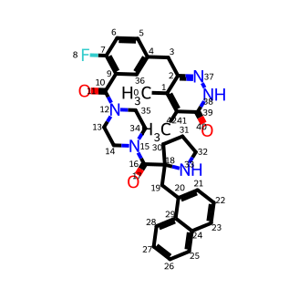 Cc1c(Cc2ccc(F)c(C(=O)N3CCN(C(=O)C4(Cc5cccc6ccccc56)CCCN4)CC3)c2)n[nH]c(=O)c1C